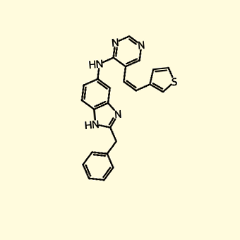 C(=Cc1cncnc1Nc1ccc2[nH]c(Cc3ccccc3)nc2c1)c1ccsc1